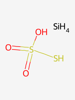 O=S(=O)(O)S.[SiH4]